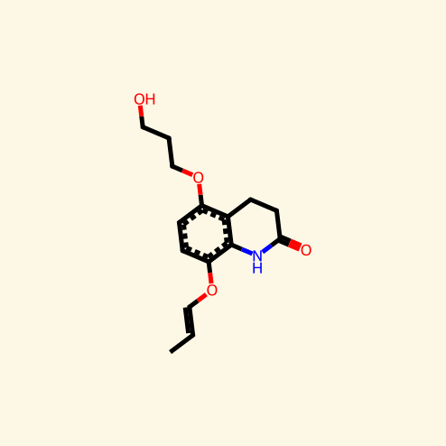 CC=COc1ccc(OCCCO)c2c1NC(=O)CC2